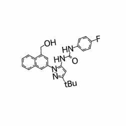 CC(C)(C)c1cc(NC(=O)Nc2ccc(F)cc2)n(-c2cc(CO)c3ccccc3c2)n1